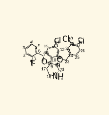 Fc1ccccc1CO[C@]1(c2ccc(Cl)cc2)CCNC[C@@H]1OCc1ccc(Cl)c(Cl)c1